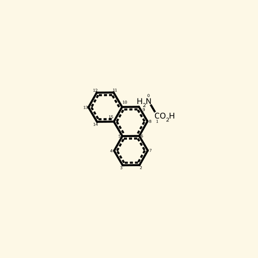 NC(=O)O.c1ccc2c(c1)ccc1ccccc12